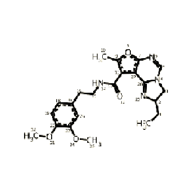 CCC1CN2C=Nc3oc(C)c(C(=O)NCCc4ccc(OC)c(OC)c4)c3C2=N1